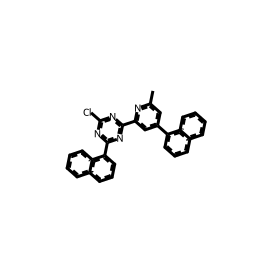 Cc1cc(-c2cccc3ccccc23)cc(-c2nc(Cl)nc(-c3cccc4ccccc34)n2)n1